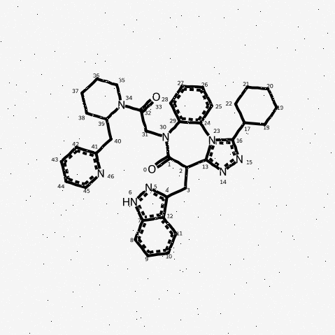 O=C1C(Cc2n[nH]c3ccccc23)c2nnc(C3CCCCC3)n2-c2ccccc2N1CC(=O)N1CCCCC1Cc1ccccn1